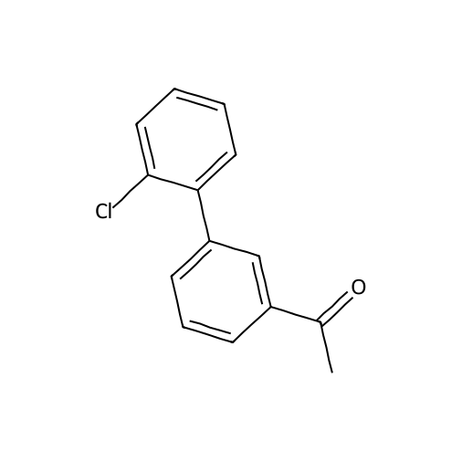 CC(=O)c1cccc(-c2ccccc2Cl)c1